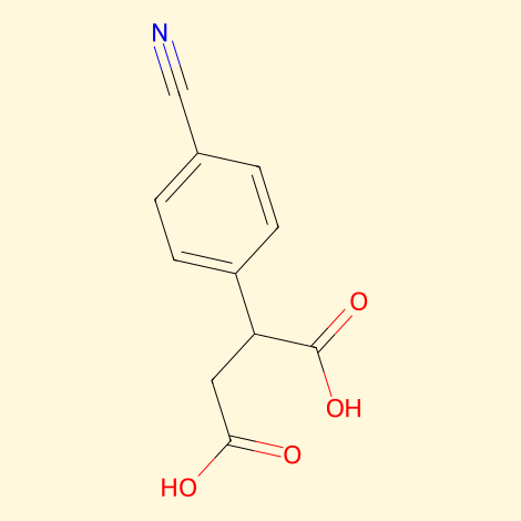 N#Cc1ccc(C(CC(=O)O)C(=O)O)cc1